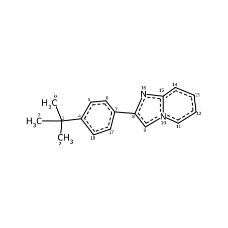 CC(C)(C)c1ccc(-c2cn3ccccc3n2)cc1